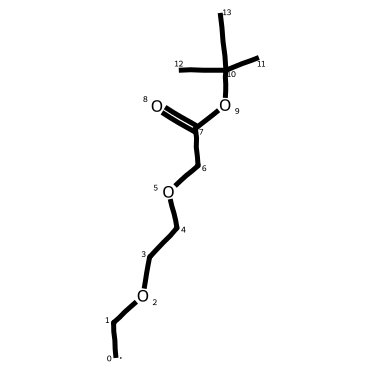 [CH2]COCCOCC(=O)OC(C)(C)C